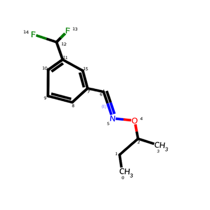 CCC(C)O/N=[C]/c1cccc(C(F)F)c1